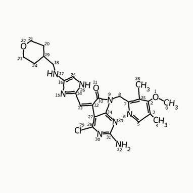 COc1c(C)cnc(CN2C(=O)/C(=C\c3nc(NCC4CCOCC4)c[nH]3)c3c(Cl)nc(N)nc32)c1C